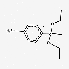 CCO[Si](C)(OCC)c1ccc([SiH3])cc1